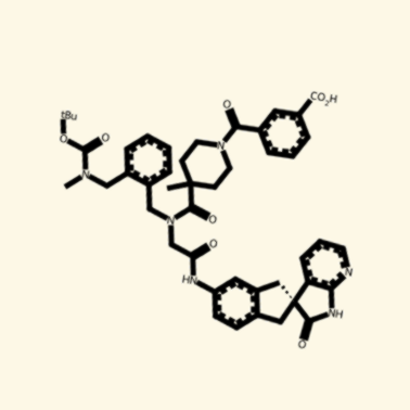 CN(Cc1ccccc1CN(CC(=O)Nc1ccc2c(c1)C[C@@]1(C2)C(=O)Nc2ncccc21)C(=O)C1(C)CCN(C(=O)c2cccc(C(=O)O)c2)CC1)C(=O)OC(C)(C)C